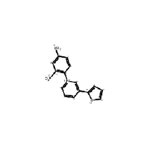 O=[N+]([O-])c1ccc(-[n+]2cccc(-c3ccco3)c2)c([N+](=O)[O-])c1